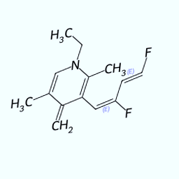 C=C1C(C)=CN(CC)C(C)=C1/C=C(F)\C=C\F